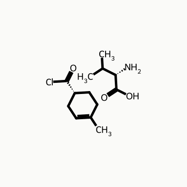 CC(C)[C@H](N)C(=O)O.CC1=CC[C@H](C(=O)Cl)CC1